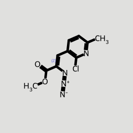 COC(=O)/C(=C/c1ccc(C)nc1Cl)N=[N+]=[N-]